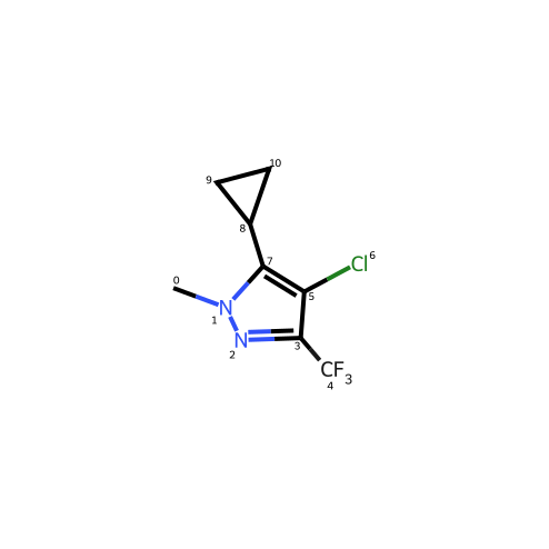 Cn1nc(C(F)(F)F)c(Cl)c1C1CC1